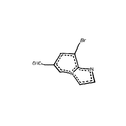 O=Cc1cc(Br)c2nccn2c1